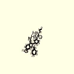 C=CCNC(=O)Nc1cccc(C2C(C#N)c3ccc(OC)cc3N2Cc2ccccc2)c1